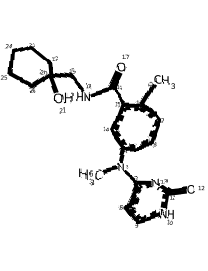 Cc1ccc(N(C)c2cc[nH]c(=O)n2)cc1C(=O)NCC1(O)CCCCC1